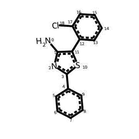 Nc1nc(-c2ccccc2)sc1-c1ccccc1Cl